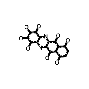 O=c1ccc(=O)c2c(=O)c3nc4c(=O)c(=O)c(=O)c(=O)c4nc3c(=O)c1=2